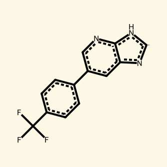 FC(F)(F)c1ccc(-c2cnc3[nH][c]nc3c2)cc1